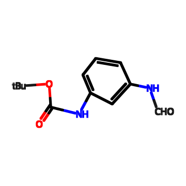 CC(C)(C)OC(=O)Nc1cccc(NC=O)c1